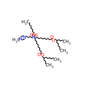 CCCCCCCCS(=O)(=O)N(CCCCN1CCN(C)CC1)C(CCCCCCCCC(=O)OCC(CCCC)CCCCCC)CCCCCCCCC(=O)OCC(CCCC)CCCCCC